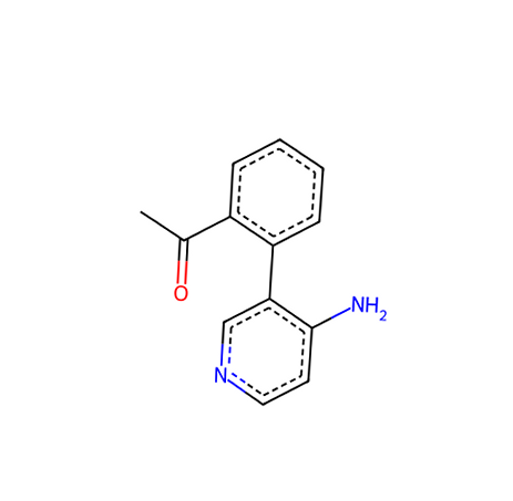 CC(=O)c1ccccc1-c1cnccc1N